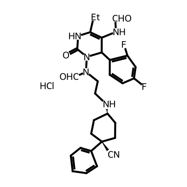 CCC1=C(NC=O)C(c2ccc(F)cc2F)N(N(C=O)CCN[C@H]2CC[C@@](C#N)(c3ccccc3)CC2)C(=O)N1.Cl